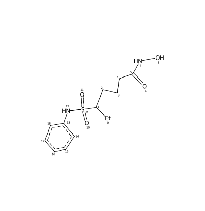 CCC(CCCC(=O)NO)S(=O)(=O)Nc1ccccc1